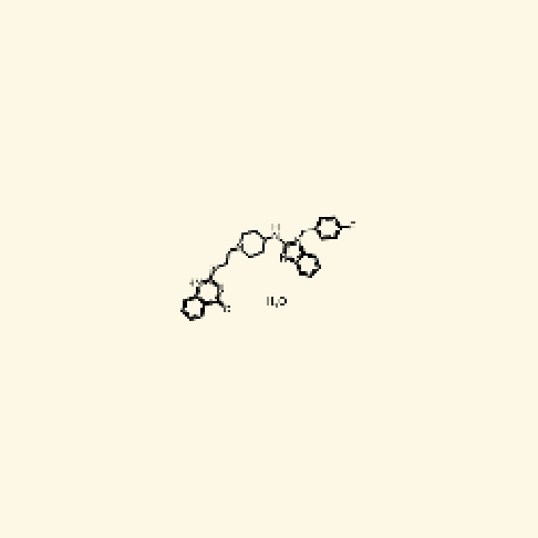 O.O=c1nc(SCCN2CCC(Nc3nc4ccccc4n3Cc3ccc(F)cc3)CC2)[nH]c2ccccc12